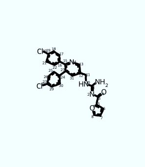 N/C(=N\C(=O)c1ccco1)NCc1cnc(-c2ccc(Cl)cc2)c(-c2ccc(Cl)cc2)c1